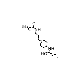 CC(C)(C)OC(=O)NCCCN1CCC(NC(N)O)CC1